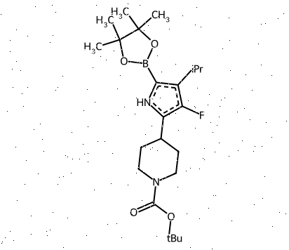 CC(C)c1c(B2OC(C)(C)C(C)(C)O2)[nH]c(C2CCN(C(=O)OC(C)(C)C)CC2)c1F